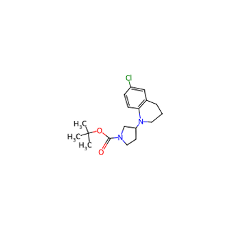 CC(C)(C)OC(=O)N1CCC(N2CCCc3cc(Cl)ccc32)C1